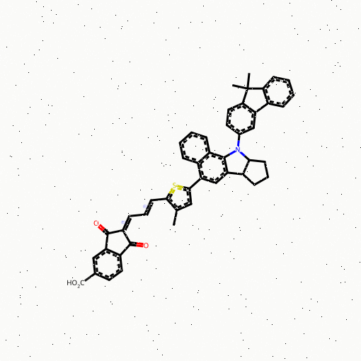 Cc1cc(-c2cc3c(c4ccccc24)N(c2ccc4c(c2)-c2ccccc2C4(C)C)C2CCCC32)sc1/C=C/C=C1\C(=O)c2ccc(C(=O)O)cc2C1=O